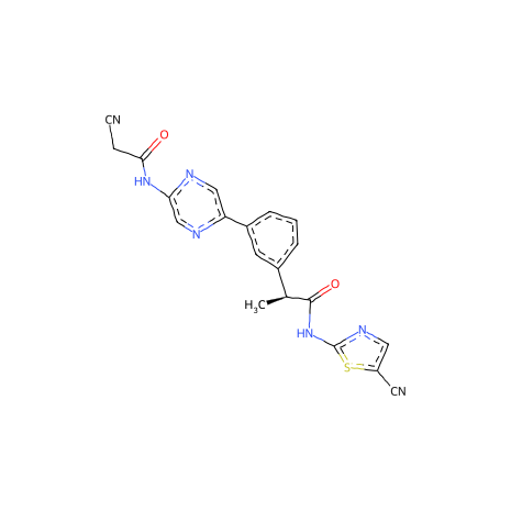 C[C@H](C(=O)Nc1ncc(C#N)s1)c1cccc(-c2cnc(NC(=O)CC#N)cn2)c1